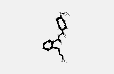 CCCCc1ccccc1C(=O)CC(=O)c1ccc(OC)cc1